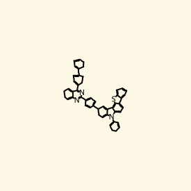 C1=CCCC(C2=CC=C(c3nc(-c4ccc(C5C=c6c(n(C7=CCCC=C7)c7ccc8c9ccccc9sc8c67)=CC5)cc4)nc4c3=CCCC=4)CC2)=C1